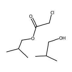 CC(C)CO.CC(C)COC(=O)CCl